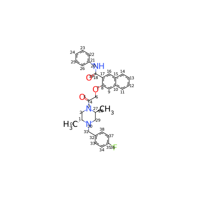 C[C@@H]1CN(C(=O)COc2cc3ccccc3cc2C(=O)Nc2ccccc2)[C@@H](C)CN1Cc1ccc(F)cc1